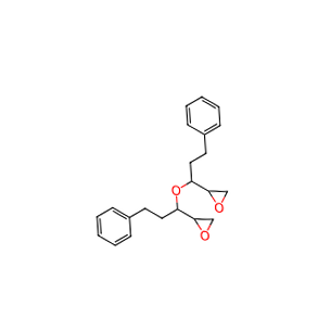 c1ccc(CCC(OC(CCc2ccccc2)C2CO2)C2CO2)cc1